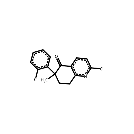 CC1(c2ccccc2Cl)CCc2nc(Cl)ccc2C1=O